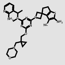 CC(c1cccnc1N)N(C)c1nc(OCC2(CN3CCOCC3)CC2)nc(N2CC3(CCc4sc(N)c(C#N)c43)C2)n1